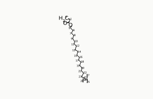 C=CC(=O)OCCCCCCCCCCCCCCCCCCC[Si](I)(I)I